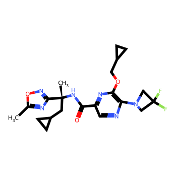 Cc1nc([C@@](C)(CC2CC2)NC(=O)c2cnc(N3CC(F)(F)C3)c(OCC3CC3)n2)no1